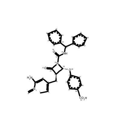 C=N/C(N)=C\C(=C/C)C[C@H]1C(=O)N(C(=O)NC(c2ccccc2)c2ccccc2)[C@@H]1Oc1ccc(C(=O)O)cc1